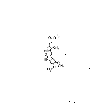 COC(=O)CCc1c[nH]c(C=C2C(=O)Nc3cc(OC)c(OC)cc32)c1C